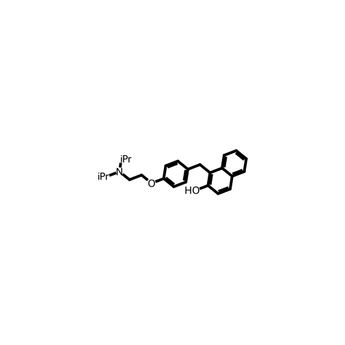 CC(C)N(CCOc1ccc(Cc2c(O)ccc3ccccc23)cc1)C(C)C